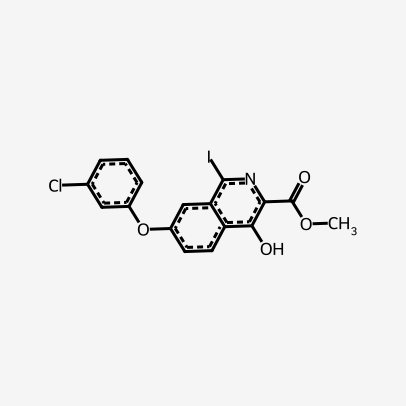 COC(=O)c1nc(I)c2cc(Oc3cccc(Cl)c3)ccc2c1O